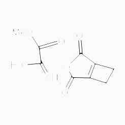 C=C(C)C(=O)OC.O=C1OC(=O)C2=C1CC2